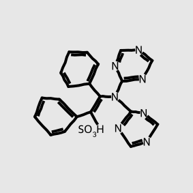 O=S(=O)(O)C(=C(c1ccccc1)N(c1ncncn1)c1ncncn1)c1ccccc1